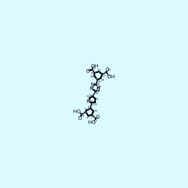 O=C(O)c1cc(C(=O)O)cc(-c2ccc(-c3nnc(-c4cc(C(=O)O)cc(C(=O)O)c4)nn3)cn2)c1